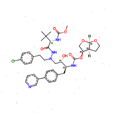 COC(=O)N[C@H](C(=O)NN(CCc1ccc(Cl)cc1)C[C@H](O)[C@H](Cc1ccc(-c2cccnc2)cc1)NC(=O)O[C@H]1CO[C@H]2OCC[C@H]21)C(C)(C)C